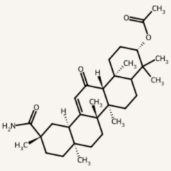 CC(=O)O[C@H]1CC[C@@]2(C)C(CC[C@]3(C)[C@@H]2C(=O)C=C2[C@@H]4C[C@@](C)(C(N)=O)CC[C@]4(C)CC[C@]23C)C1(C)C